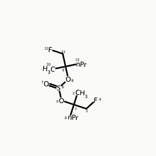 CCCC(C)(CF)OS(=O)OC(C)(CF)CCC